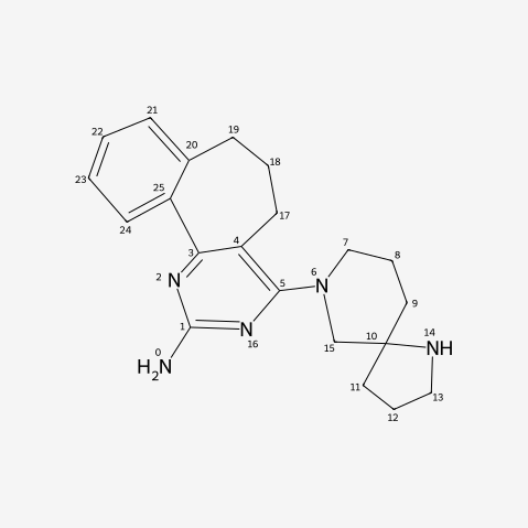 Nc1nc2c(c(N3CCCC4(CCCN4)C3)n1)CCCc1ccccc1-2